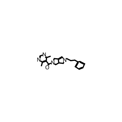 Cc1ncnc(C)c1C(=O)N1CC2=CN(CCCc3ccccc3)CC2C1